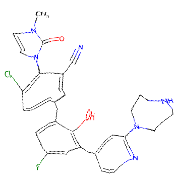 Cn1ccn(-c2c(Cl)cc(-c3cc(F)cc(-c4ccnc(N5CCNCC5)c4)c3O)cc2C#N)c1=O